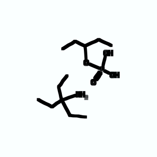 CCC(CC)OP(=O)(O)O.CCC(N)(CC)CC